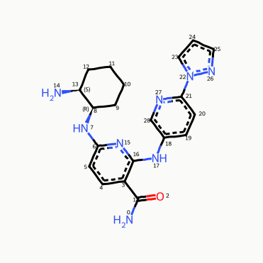 NC(=O)c1ccc(N[C@@H]2CCCC[C@@H]2N)nc1Nc1ccc(-n2cccn2)nc1